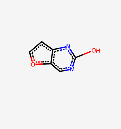 Oc1ncc2occc2n1